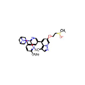 COc1ccc(CN2C3CC2CN(c2ccc(-c4cc(OCC[S+](C)[O-])cn5ncc(C#N)c45)cn2)C3)cn1